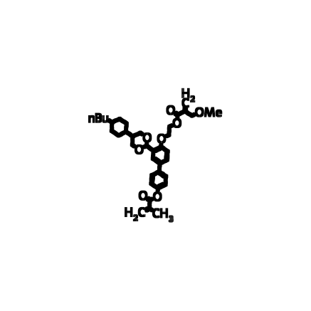 C=C(C)C(=O)Oc1ccc(-c2ccc(OCCOC(=O)C(=C)COC)c(C3OCC(C4CCC(CCCC)CC4)CO3)c2)cc1